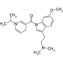 COc1ccc2c(CCN(C)C)cn(C(=O)C3=CN(C(C)C)C=CC3)c2c1